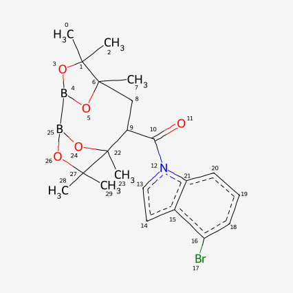 CC1(C)OB2OC1(C)CC(C(=O)n1ccc3c(Br)cccc31)C1(C)OB2OC1(C)C